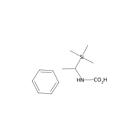 CC(NC(=O)O)[Si](C)(C)C.c1ccccc1